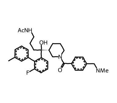 CNCc1ccc(C(=O)N2CCC[C@@H](C(O)(CCCNC(C)=O)c3cccc(F)c3-c3cccc(C)c3)C2)cc1